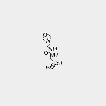 C[Si](O)(O)CCCNC(=O)NCCN1CCOCC1